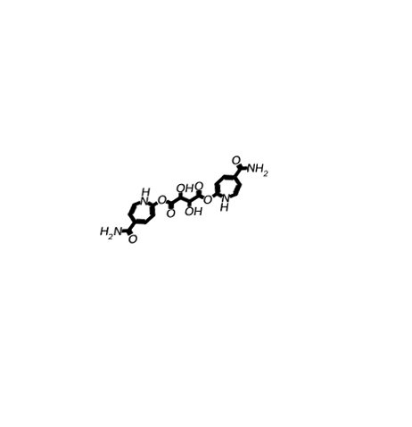 NC(=O)C1=CC=C(OC(=O)C(O)C(O)C(=O)OC2=CC=C(C(N)=O)C=CN2)NC=C1